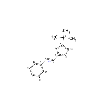 CC(C)(C)c1cc(/C=C/c2cccnc2)cs1